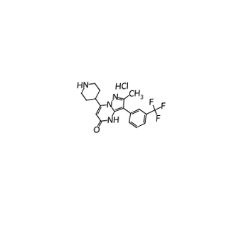 Cc1nn2c(C3CCNCC3)cc(=O)[nH]c2c1-c1cccc(C(F)(F)F)c1.Cl